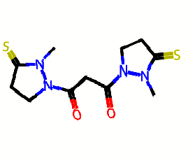 CN1C(=S)CCN1C(=O)CC(=O)N1CCC(=S)N1C